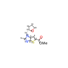 COC(=O)c1cc2c(nc(C)n2C[C@@H]2CCCO2)s1